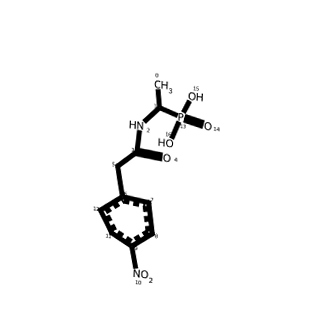 CC(NC(=O)Cc1ccc([N+](=O)[O-])cc1)P(=O)(O)O